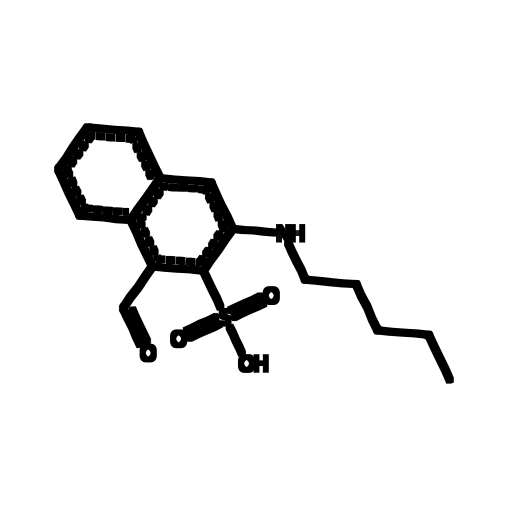 CCCCCNc1cc2ccccc2c(C=O)c1S(=O)(=O)O